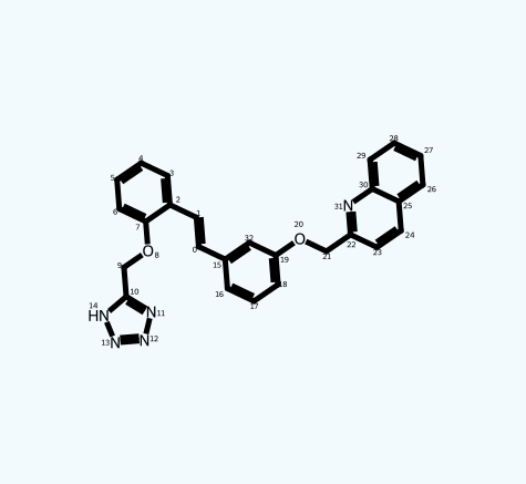 C(=Cc1ccccc1OCc1nnn[nH]1)c1cccc(OCc2ccc3ccccc3n2)c1